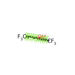 OC(F)(C(F)(F)C(F)(F)C(F)(F)C(F)(F)C(F)(F)F)C(F)(F)C(F)(F)C(F)(F)C(F)(F)C(F)(F)C(F)(F)C(F)(F)C(F)(F)F